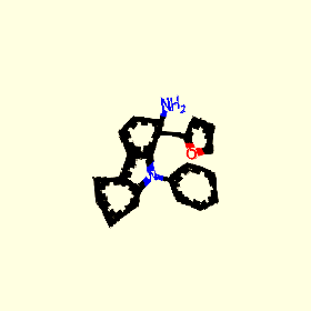 Nc1ccc2c3ccccc3n(-c3ccccc3)c2c1-c1ccco1